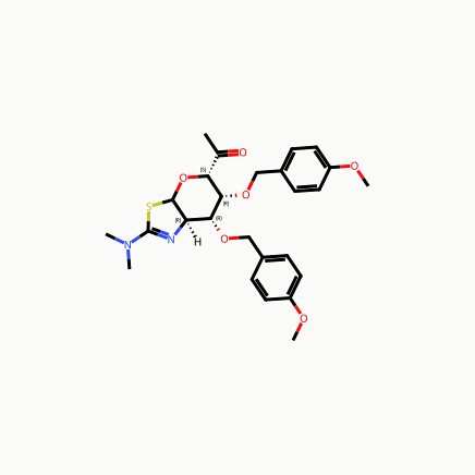 COc1ccc(CO[C@@H]2[C@H](OCc3ccc(OC)cc3)[C@H]3N=C(N(C)C)SC3O[C@@H]2C(C)=O)cc1